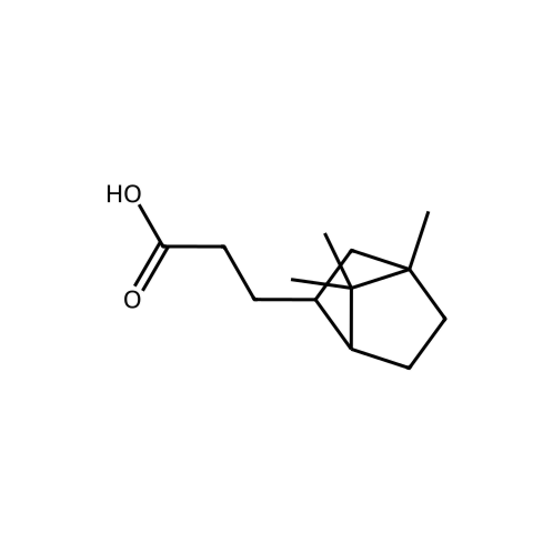 CC12CCC(C(CCC(=O)O)C1)C2(C)C